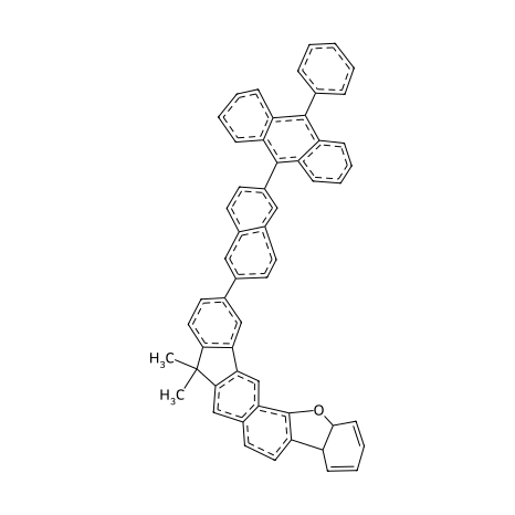 CC1(C)c2ccc(-c3ccc4cc(-c5c6ccccc6c(-c6ccccc6)c6ccccc56)ccc4c3)cc2-c2cc3c4c(ccc3cc21)C1C=CC=CC1O4